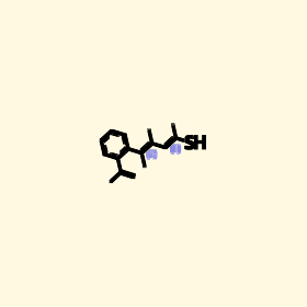 C=C(C)c1ccccc1/C(C)=C(C)/C=C(\C)S